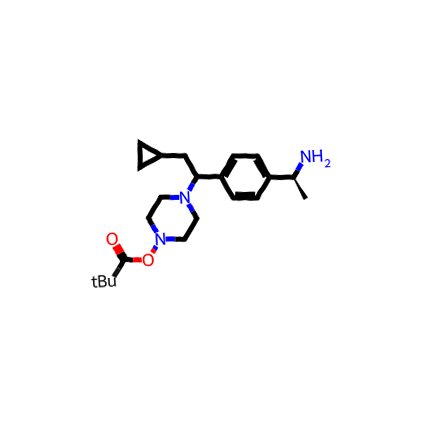 C[C@H](N)c1ccc(C(CC2CC2)N2CCN(OC(=O)C(C)(C)C)CC2)cc1